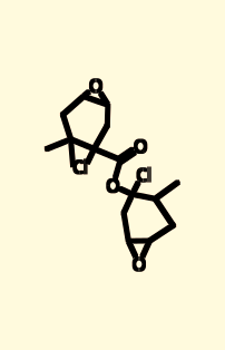 CC1CC2OC2CC1(Cl)OC(=O)C1(Cl)CC2OC2CC1(C)C